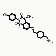 CN1C(=O)N(c2ccc(Cl)cc2)S(=O)(=O)c2ccc(OCC3CCC(CN)CC3)cc21